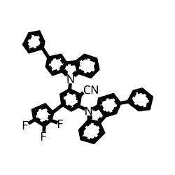 N#Cc1c(-n2c3ccccc3c3cc(-c4ccccc4)ccc32)cc(-c2ccc(F)c(F)c2F)cc1-n1c2ccccc2c2cc(-c3ccccc3)ccc21